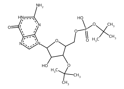 CC(C)(C)OC1C(COP(=O)(O)OC(C)(C)C)OC(n2cnc3c(=O)[nH]c(N)nc32)C1O